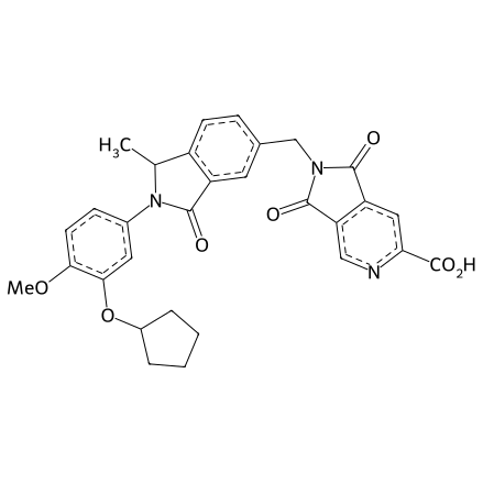 COc1ccc(N2C(=O)c3cc(CN4C(=O)c5cnc(C(=O)O)cc5C4=O)ccc3C2C)cc1OC1CCCC1